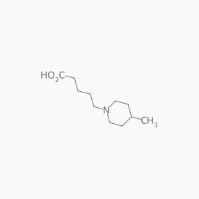 CC1CCN(CCCCC(=O)O)CC1